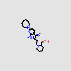 C/N=C(/CCCN1CCCCC1CO)c1ccc(N2CCCCCCC2)nc1NC